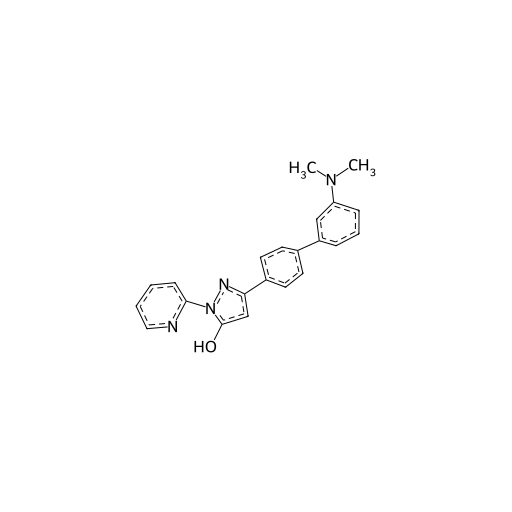 CN(C)c1cccc(-c2ccc(-c3cc(O)n(-c4ccccn4)n3)cc2)c1